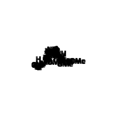 COc1cc(C(=O)Nc2cccc(-c3nccc(-c4ccc(CNCC5CCC(=O)N5)c(OC)n4)c3Cl)c2Cl)ncc1CN1CC(OC)C1